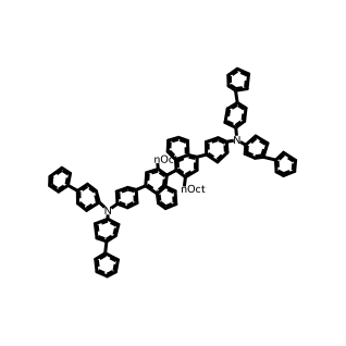 CCCCCCCCc1cc(-c2ccc(N(c3ccc(-c4ccccc4)cc3)c3ccc(-c4ccccc4)cc3)cc2)c2ccccc2c1-c1c(CCCCCCCC)cc(-c2ccc(N(c3ccc(-c4ccccc4)cc3)c3ccc(-c4ccccc4)cc3)cc2)c2ccccc12